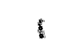 [O-][S+](Nc1ccc(-c2cnc3cn[nH]c3n2)cc1F)c1cccc(Cl)c1Cl